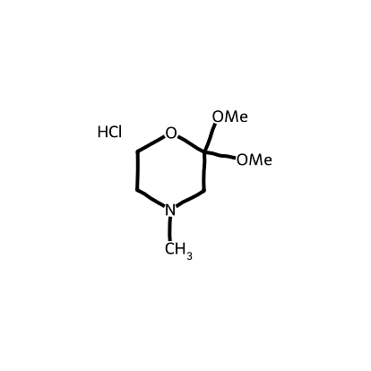 COC1(OC)CN(C)CCO1.Cl